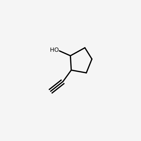 C#CC1CCCC1O